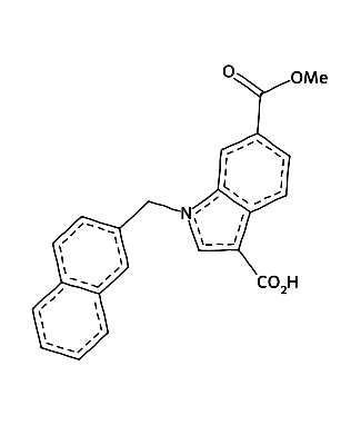 COC(=O)c1ccc2c(C(=O)O)cn(Cc3ccc4ccccc4c3)c2c1